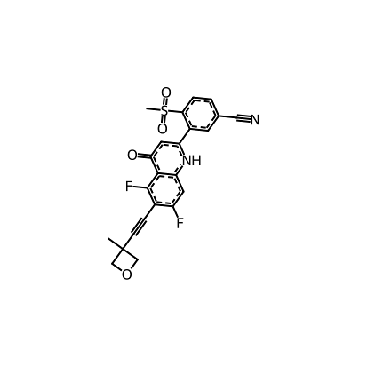 CC1(C#Cc2c(F)cc3[nH]c(-c4cc(C#N)ccc4S(C)(=O)=O)cc(=O)c3c2F)COC1